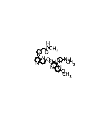 CNC(=O)CC1CCN(c2ccnc3ccc(OC)nc23)C1.CNC1CCN(c2ccnc3ccc(OC)nc23)C1